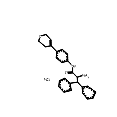 Cl.NC(C(=O)Nc1ccc(C2=CCOCC2)cc1)C(c1ccccc1)c1ccccc1